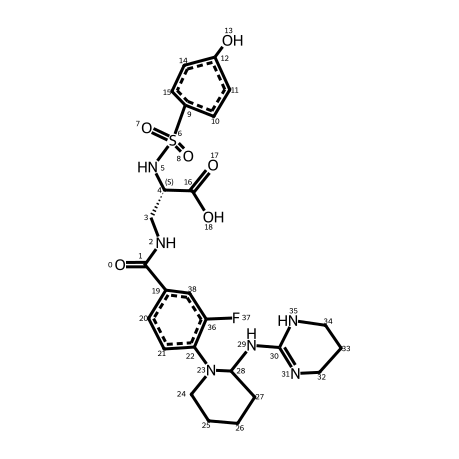 O=C(NC[C@H](NS(=O)(=O)c1ccc(O)cc1)C(=O)O)c1ccc(N2CCCCC2NC2=NCCCN2)c(F)c1